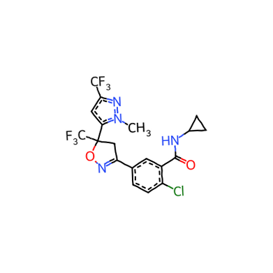 Cn1nc(C(F)(F)F)cc1C1(C(F)(F)F)CC(c2ccc(Cl)c(C(=O)NC3CC3)c2)=NO1